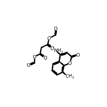 Cc1cccc2c(N)cc(=O)oc12.O=COC(=O)CC(=O)OC=O